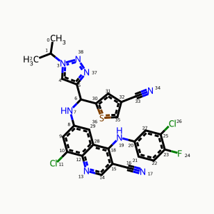 CC(C)n1cc(C(Nc2cc(Cl)c3ncc(C#N)c(Nc4ccc(F)c(Cl)c4)c3c2)c2cc(C#N)cs2)nn1